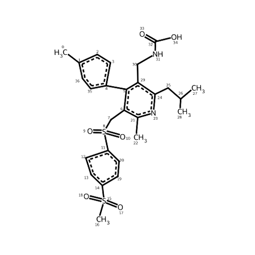 Cc1ccc(-c2c(CS(=O)(=O)c3ccc(S(C)(=O)=O)cc3)c(C)nc(CC(C)C)c2CNC(=O)O)cc1